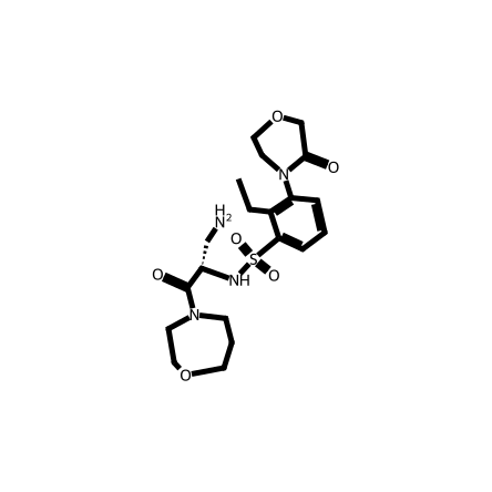 CCc1c(N2CCOCC2=O)cccc1S(=O)(=O)N[C@@H](CN)C(=O)N1CCCOCC1